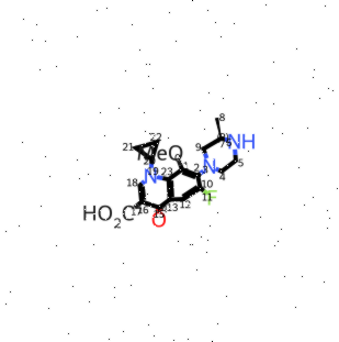 COc1c(N2CCN[C@H](C)C2)c(F)cc2c(=O)c(C(=O)O)cn(C3CC3)c12